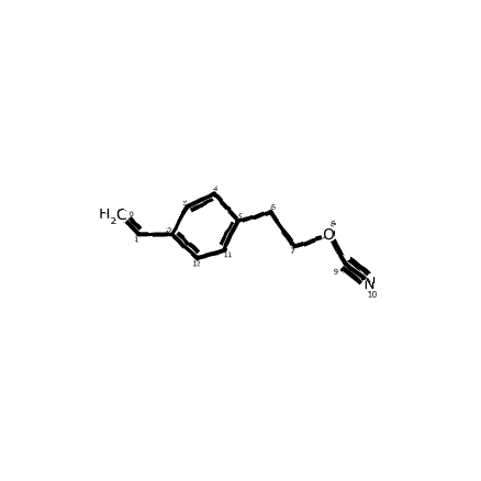 C=Cc1ccc(CCOC#N)cc1